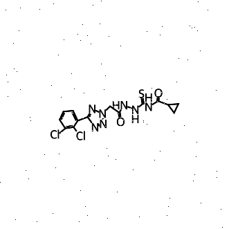 O=C(Cn1nnc(-c2cccc(Cl)c2Cl)n1)NNC(=S)NC(=O)C1CC1